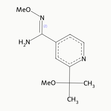 CO/N=C(\N)c1ccnc(C(C)(C)OC)c1